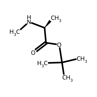 CN[C@@H](C)C(=O)OC(C)(C)C